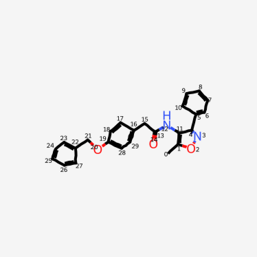 Cc1onc(-c2ccccc2)c1NC(=O)Cc1ccc(OCc2ccccc2)cc1